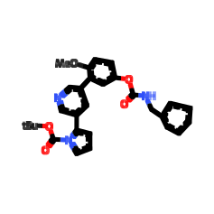 COc1ccc(OC(=O)NCc2ccccc2)cc1-c1cncc(-c2cccn2C(=O)OC(C)(C)C)c1